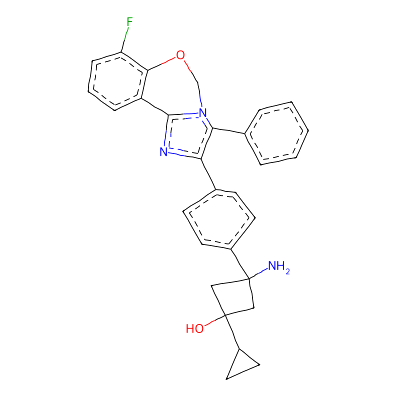 NC1(c2ccc(-c3nc4n(c3-c3ccccc3)COc3c(F)cccc3-4)cc2)CC(O)(C2CC2)C1